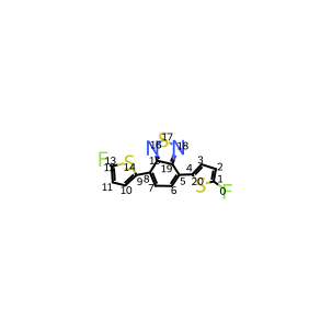 Fc1ccc(-c2ccc(-c3ccc(F)s3)c3nsnc23)s1